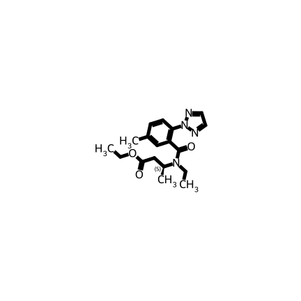 CCOC(=O)C[C@H](C)N(CC)C(=O)c1cc(C)ccc1-n1nccn1